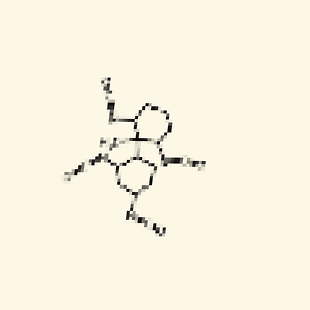 CC1(C2CCC(N=C=O)CC2N=C=O)C(N=C=O)CCCC1N=C=O